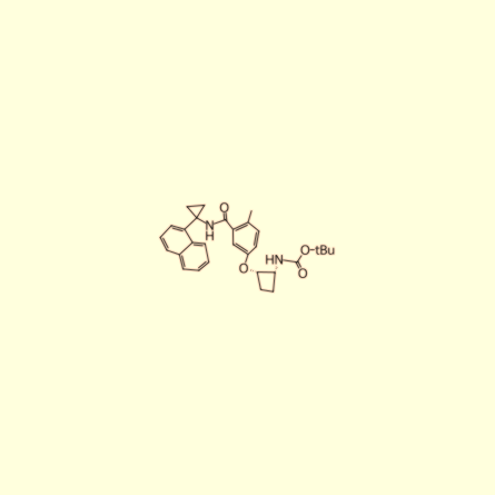 Cc1ccc(O[C@H]2CC[C@H]2NC(=O)OC(C)(C)C)cc1C(=O)NC1(c2cccc3ccccc23)CC1